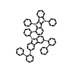 c1ccc(-c2ccccc2-c2ccc3c(c2)c2cc(-c4ccccc4-c4ccccc4)ccc2n3-c2ccccc2-c2cccc3c2n(-c2ccccc2)c2c4ccccc4n(-c4ccccc4)c32)cc1